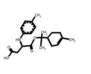 CC1=CCC(C(C)(C)OC(=O)C(CC(=O)O)Nc2ccc(C)cc2)CC1